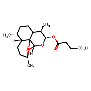 C[C@H]1[C@H](OC(=O)CCC(=O)O)O[C@@H]2O[C@@]3(C)CC[C@H]4[C@H](C)CC[C@@H]1C24OO3